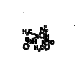 CCCN(CCNC(=O)c1ccccc1)c1cc(-c2nc3c(C)cccc3c(=O)[nH]2)cc(C(F)(F)F)c1